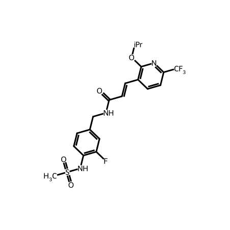 CC(C)Oc1nc(C(F)(F)F)ccc1C=CC(=O)NCc1ccc(NS(C)(=O)=O)c(F)c1